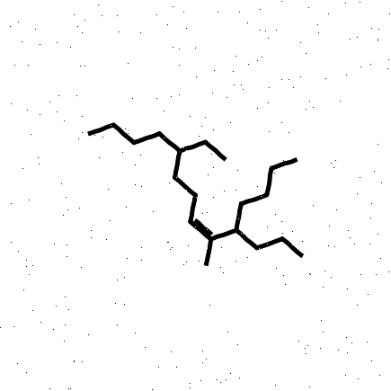 CCCCC(CC)CCC=C(C)C(CCC)CCCC